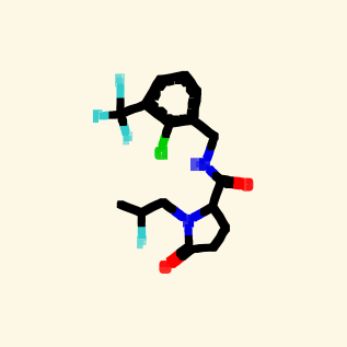 CC(F)CN1C(=O)CCC1C(=O)NCc1cccc(C(F)(F)F)c1Cl